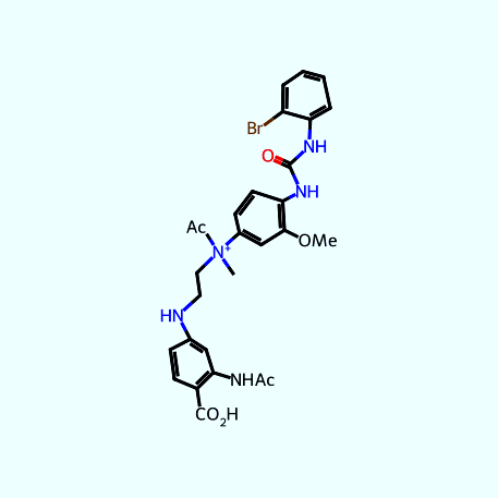 COc1cc([N+](C)(CCNc2ccc(C(=O)O)c(NC(C)=O)c2)C(C)=O)ccc1NC(=O)Nc1ccccc1Br